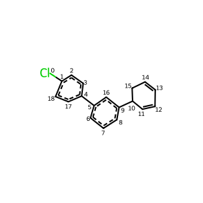 Clc1ccc(-c2cccc(C3C=CC=CC3)c2)cc1